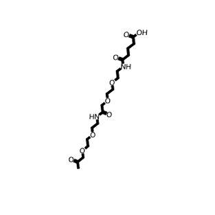 CC(=O)COCCOCCNC(=O)COCCOCCNC(=O)CCCC(=O)O